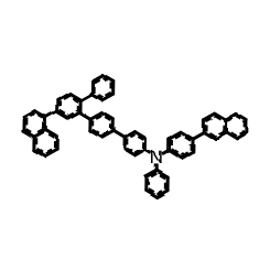 c1ccc(-c2ccc(-c3cccc4ccccc34)cc2-c2ccc(-c3ccc(N(c4ccccc4)c4ccc(-c5ccc6ccccc6c5)cc4)cc3)cc2)cc1